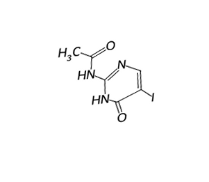 CC(=O)Nc1ncc(I)c(=O)[nH]1